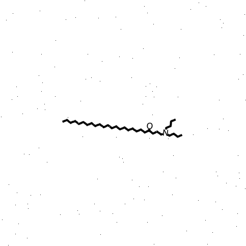 CCCCCCCCCCCCCCCCCCCCCC(=O)CCCN(CCCC)CCCC